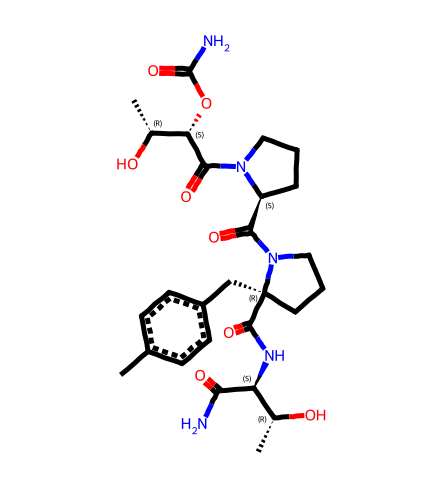 Cc1ccc(C[C@@]2(C(=O)N[C@H](C(N)=O)[C@@H](C)O)CCCN2C(=O)[C@@H]2CCCN2C(=O)[C@@H](OC(N)=O)[C@@H](C)O)cc1